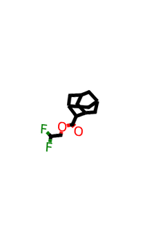 O=C(OCC(F)F)C1C2CC3CC(C2)CC1C3